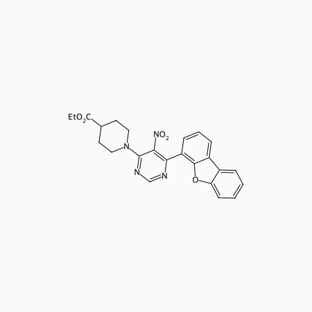 CCOC(=O)C1CCN(c2ncnc(-c3cccc4c3oc3ccccc34)c2[N+](=O)[O-])CC1